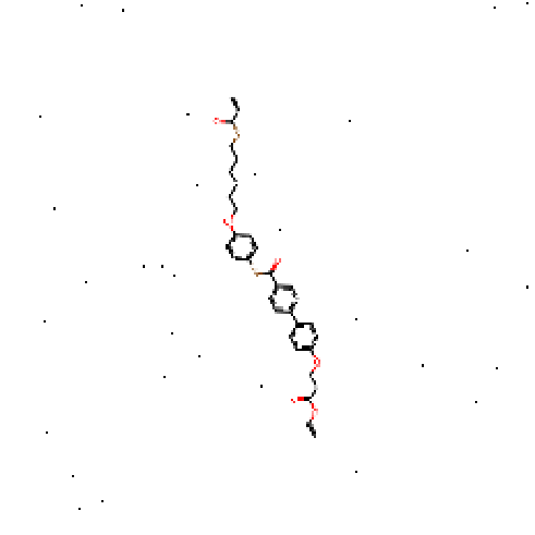 C=COC(=O)CCOc1ccc(-c2ccc(C(=O)Sc3ccc(OCCCCCCSC(=O)C=C)cc3)cc2)cc1